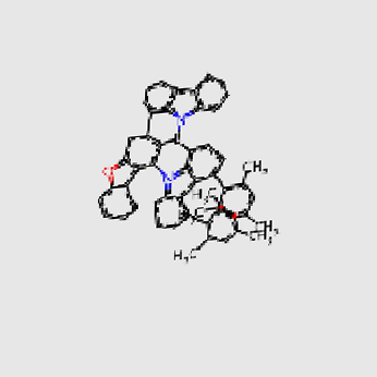 Cc1cc(C)c(-c2cccc3c2c2c(-c4c(C)cc(C)cc4C)ccc4c2n3-c2c3c(cc5oc6ccccc6c25)-c2cccc5c6ccccc6n(c25)B34)c(C)c1